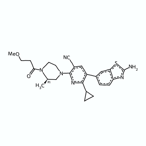 COCCC(=O)N1CCN(c2nc(C3CC3)c(-c3ccc4nc(N)sc4c3)cc2C#N)C[C@H]1C